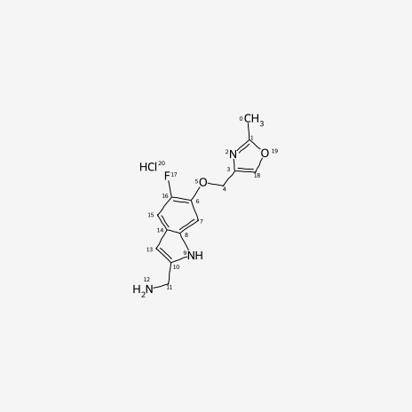 Cc1nc(COc2cc3[nH]c(CN)cc3cc2F)co1.Cl